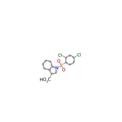 O=C(O)c1cn(S(=O)(=O)c2ccc(Cl)cc2Cl)c2ccccc12